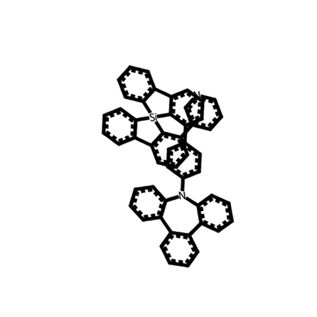 c1cncc(-c2cccc3c2[Si]2(c4ccccc4-c4cccc(-c5ccc(N6c7ccccc7-c7ccccc7-c7ccccc76)cc5)c42)c2ccccc2-3)c1